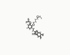 CCCCCOc1c(/C=C/c2nc3cc(F)c(F)cc3[nH]2)cccc1OC(F)F